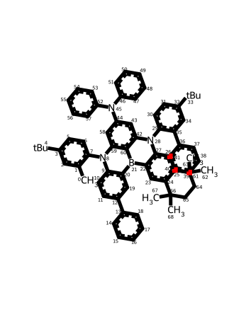 Cc1cc(C(C)(C)C)ccc1N1c2ccc(-c3ccccc3)cc2B2c3cc4c(cc3N(c3ccc(C(C)(C)C)cc3-c3ccccc3)c3cc(N(c5ccccc5)c5ccccc5)cc1c32)C(C)(C)CCC4(C)C